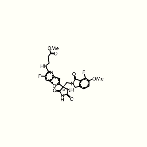 COC(=O)CCNc1nc2cc([C@]3(CN4Cc5ccc(OC)c(F)c5C4=O)NC(=O)NC3=O)oc2cc1F